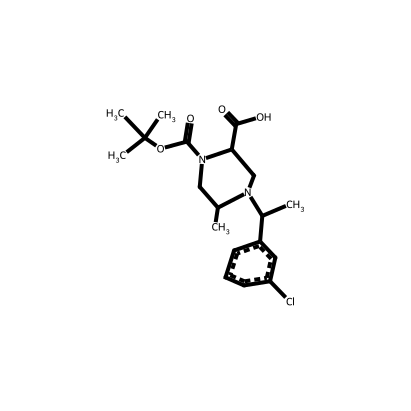 CC1CN(C(=O)OC(C)(C)C)C(C(=O)O)CN1C(C)c1cccc(Cl)c1